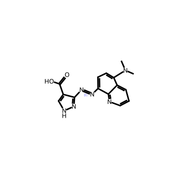 CN(C)c1ccc(/N=N/c2n[nH]cc2C(=O)O)c2ncccc12